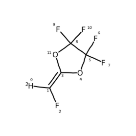 [2H]C(F)=C1OC(F)(F)C(F)(F)O1